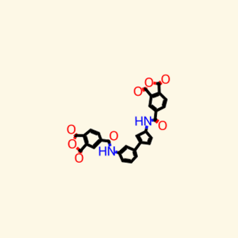 O=C(Nc1cccc(C2=CC(NC(=O)c3ccc4c(c3)C(=O)OC4=O)C=C2)c1)c1ccc2c(c1)C(=O)OC2=O